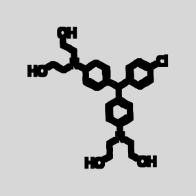 OCCN(CCO)c1ccc(C(C2=CCC(N(CCO)CCO)C=C2)c2ccc(Cl)cc2)cc1